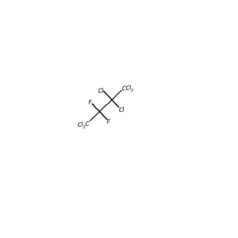 FC(F)(C(Cl)(Cl)Cl)C(Cl)(Cl)C(Cl)(Cl)Cl